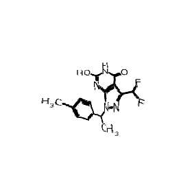 Cc1ccc(C(C)n2nc(C(F)F)c3c(=O)[nH]c(O)nc32)cc1